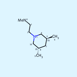 CNCCN1C[C@@H](C)C[C@H](C)C1